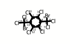 Clc1c(Cl)c(C(Cl)(Cl)Br)c(Cl)c(Cl)c1C(Cl)(Cl)Br